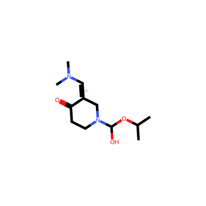 CC(C)OC(O)N1CCC(=O)/C(=C\N(C)C)C1